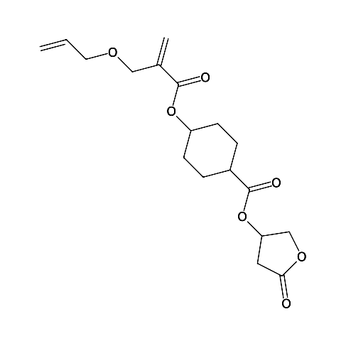 C=CCOCC(=C)C(=O)OC1CCC(C(=O)OC2COC(=O)C2)CC1